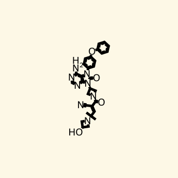 CC(C)(C=C(C#N)C(=O)N1CC(n2c(=O)n(-c3ccc(Oc4ccccc4)cc3)c3c(N)ncnc32)C1)N1CC(O)C1